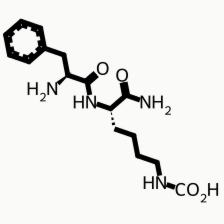 NC(=O)[C@H](CCCCNC(=O)O)NC(=O)[C@@H](N)Cc1ccccc1